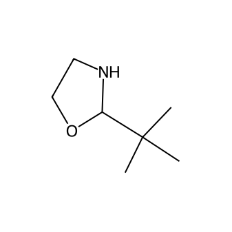 CC(C)(C)C1NCCO1